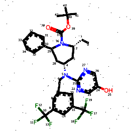 CC[C@@H]1C[C@H](N(Cc2cc(C(F)(F)F)cc(C(F)(F)F)c2)c2ncc(O)cn2)CC(c2ccccc2)N1C(=O)OC(C)(C)C